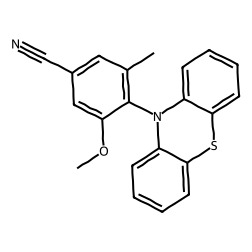 COc1cc(C#N)cc(C)c1N1c2ccccc2Sc2ccccc21